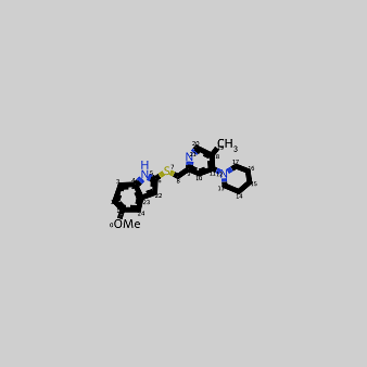 COc1ccc2[nH]c(SCc3cc(N4CCCCC4)c(C)cn3)cc2c1